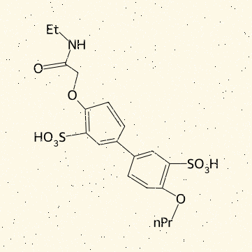 CCCOc1ccc(-c2ccc(OCC(=O)NCC)c(S(=O)(=O)O)c2)cc1S(=O)(=O)O